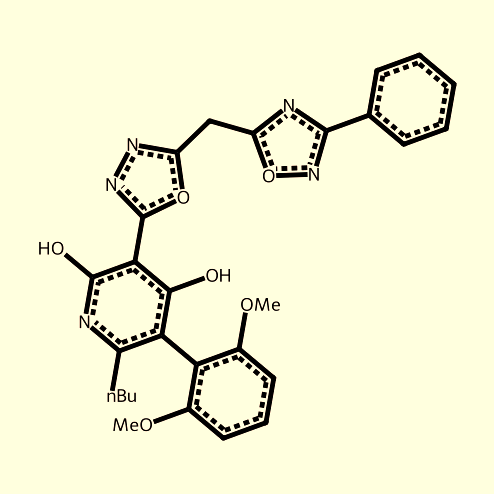 CCCCc1nc(O)c(-c2nnc(Cc3nc(-c4ccccc4)no3)o2)c(O)c1-c1c(OC)cccc1OC